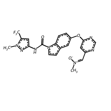 Cn1nc(NC(=O)n2ccc3cc(Oc4cc(C=[N+](C)[O-])ncn4)ccc32)cc1C(F)(F)F